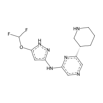 FC(F)Oc1cc(Nc2cncc([C@H]3CCCNC3)n2)n[nH]1